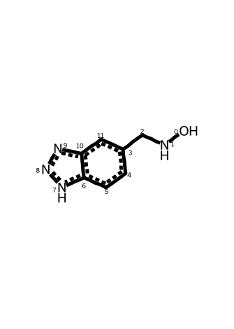 ONCc1ccc2[nH]nnc2c1